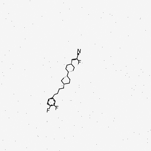 N#CC(F)=C[C@H]1CC[C@H]([C@H]2CC[C@H](CCCCc3ccc(F)c(F)c3)CC2)CC1